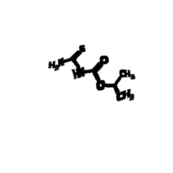 CC(C)OC(=O)NC(N)=S